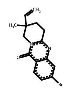 C=CC1(C)CCc2nc3cc(Br)ccc3c(=O)n2C1